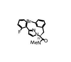 CNC(=O)[C@H](Cc1cccc(Br)c1)n1ccc(-c2ccccc2F)n1